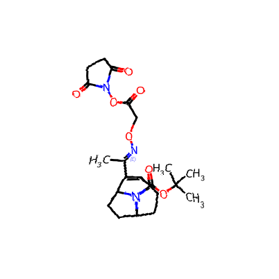 C/C(=N\OCC(=O)ON1C(=O)CCC1=O)C1=CCCC2CCC1N2C(=O)OC(C)(C)C